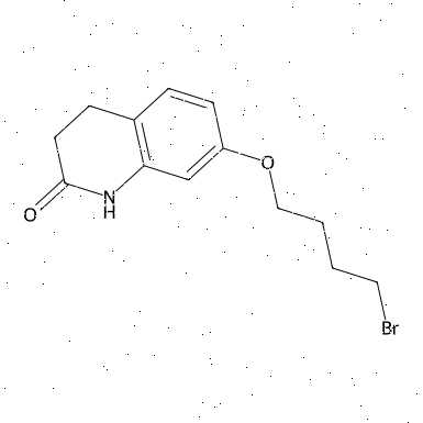 O=C1CCc2ccc(OCCCCBr)cc2N1